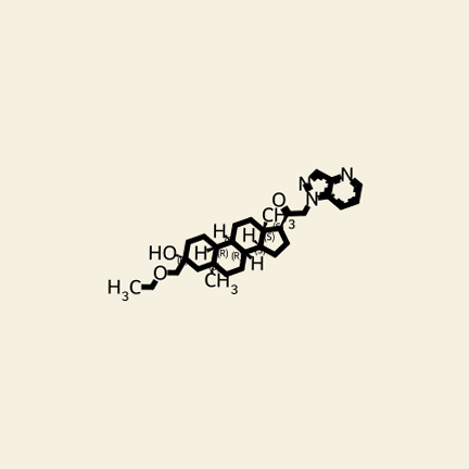 CCOC[C@@]1(O)CC[C@@H]2[C@H]3CC[C@]4(C)[C@@H](C(=O)Cn5ncc6ncccc65)CC[C@H]4[C@@H]3CC[C@@]2(C)C1